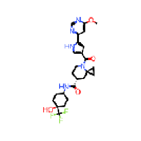 COc1cc(-c2cc(C(=O)N3CC[C@@H](C(=O)NC4CCC(O)(C(F)(F)F)CC4)CC34CC4)c[nH]2)ncn1